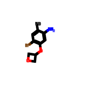 Nc1cc(OC2COC2)c(Br)cc1N=O